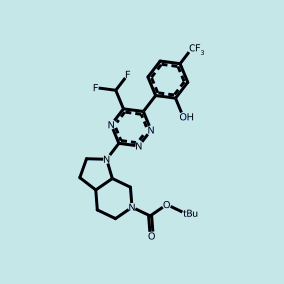 CC(C)(C)OC(=O)N1CCC2CCN(c3nnc(-c4ccc(C(F)(F)F)cc4O)c(C(F)F)n3)C2C1